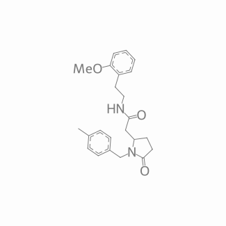 COc1ccccc1CCNC(=O)CC1CCC(=O)N1Cc1ccc(C)cc1